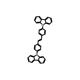 C(=C\c1ccc(-n2c3ccccc3c3ccccc32)cc1)/c1ccc(B2c3ccccc3-c3ccccc32)cc1